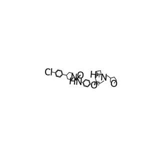 O=C(Nc1ccc(O[C@@H]2CCN(CC3CCOC3)C3CC[C@@H]3C2)cc1)N1CCC(c2ccc(Cl)cc2)CC1